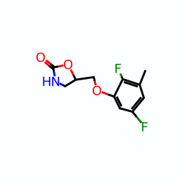 Cc1cc(F)cc(OCC2CNC(=O)O2)c1F